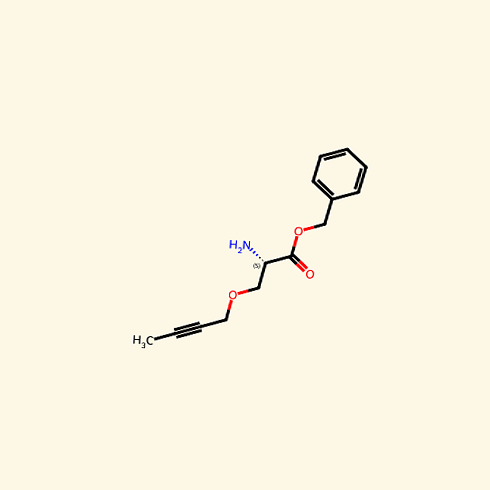 CC#CCOC[C@H](N)C(=O)OCc1ccccc1